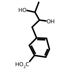 CC(O)C(O)Cc1cccc(C(=O)O)c1